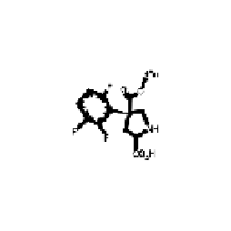 CC(C)(C)OC(=O)[C@]1(c2c(F)ccc(F)c2F)CNC(C(=O)O)C1